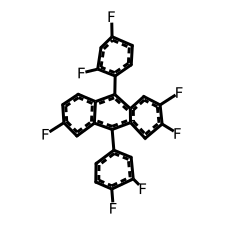 Fc1ccc(-c2c3ccc(F)cc3c(-c3ccc(F)c(F)c3)c3cc(F)c(F)cc23)c(F)c1